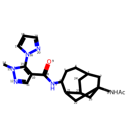 CC(=O)NC12CC3CCC(NC(=O)c4cnn(C)c4-n4cccn4)C(C1)C(C3)C2